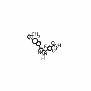 C[C@@H]1CCCN1C1CCc2ccc(-c3cnc4[nH]nc(-c5cc6c(cc5F)C(=O)NCCO6)c4c3)cc2CC1